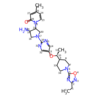 CCc1noc(N2CCC([C@H](C)Oc3cnc(N4CC(N)C(n5ccc(C)cc5=O)C4)nc3)CC2)n1